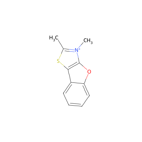 Cc1sc2c3ccccc3oc2[n+]1C